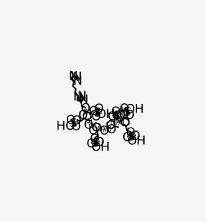 CC1O[C@H](O[C@H]2CC[C@@H](O[C@H]3CC(OS(=O)(=O)O)[C@H](OCc4cn(CCCc5cn(C)nn5)nn4)OC3COS(=O)(=O)O)OC2COS(=O)(=O)O)CC[C@@H]1N([C@H]1C=C(COS(=O)(=O)O)CC[C@H]1OS(=O)(=O)O)S(=O)(=O)O